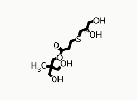 CC(CO)(CO)COC(=O)CCSC[C@@H](O)CO